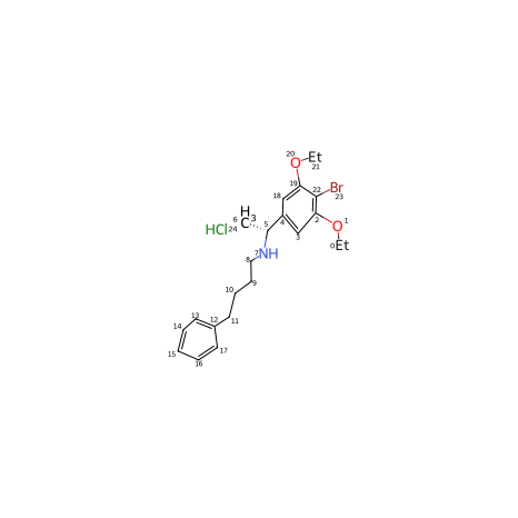 CCOc1cc([C@@H](C)NCCCCc2ccccc2)cc(OCC)c1Br.Cl